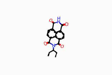 CCC(CC)N1C(=O)c2ccc3c4c(ccc(c24)C1=O)C(=O)NC3=O